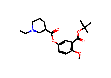 CCN1CCCC(C(=O)Oc2ccc(OC)c(C(=O)OC(C)(C)C)c2)C1